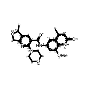 COc1cc(NC(=O)c2cc3c(nc2N2CCOCC2)COC3C)cc2c(C)cc(=O)[nH]c12